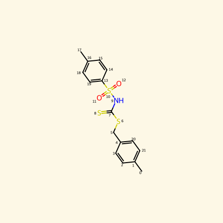 Cc1ccc(CSC(=S)NS(=O)(=O)c2ccc(C)cc2)cc1